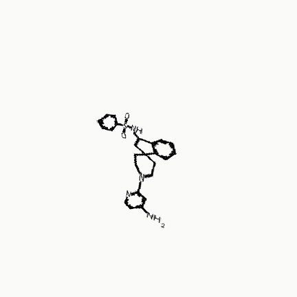 Nc1ccnc(N2CCC3(CC2)CC(NS(=O)(=O)c2ccccc2)c2ccccc23)c1